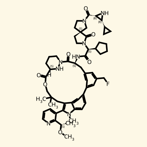 CO[C@@H](C)c1ncccc1-c1c2c3cc(ccc3n1C)-c1cc(CF)cc(c1)C[C@H](NC(=O)[C@H](C1CCCC1)N1CC[C@]3(CCN(C(=O)[C@@H]4N[C@@H]4C4CC4)C3)C1=O)C(=O)N1CCC[C@H](N1)C(=O)OCC(C)(C)C2